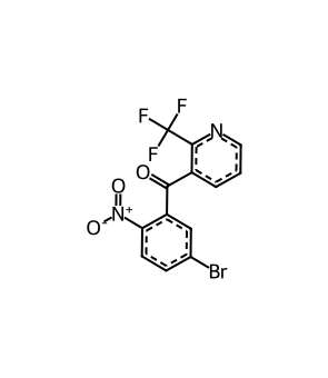 O=C(c1cc(Br)ccc1[N+](=O)[O-])c1cccnc1C(F)(F)F